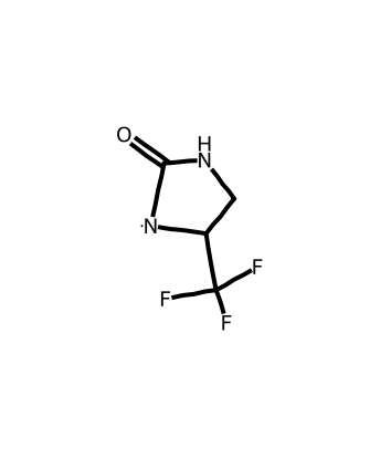 O=C1[N]C(C(F)(F)F)CN1